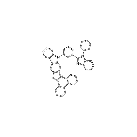 c1ccc(-n2c(-c3cccc(-n4c5ccccc5c5cc6cc7c8ccccc8c8ccccc8n7c6cc54)c3)nc3ccccc32)cc1